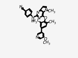 COc1cncc(-c2cc(C)c(Oc3nc(Nc4ccc(C#N)cc4)nc4ccn(C)c34)c(C)c2)c1